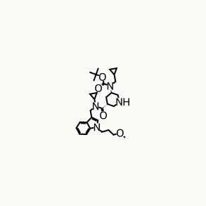 COCCCn1cc(CN(C(=O)[C@H]2CNC[C@@H](N(CC3CC3)C(=O)OC(C)(C)C)C2)C2CC2)c2ccccc21